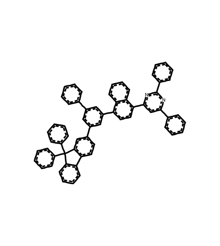 c1ccc(-c2cc(-c3ccc4c(c3)C(c3ccccc3)(c3ccccc3)c3ccccc3-4)cc(-c3ccc(-c4cc(-c5ccccc5)nc(-c5ccccc5)n4)c4ccccc34)c2)cc1